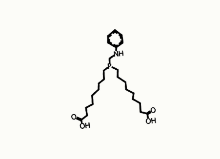 O=C(O)CCCCCCCCP(CCCCCCCCC(=O)O)CNc1ccccc1